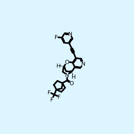 O=C(N1C[C@@H]2C[C@H]1c1cncc(C#Cc3cncc(F)c3)c1O2)C12CCC(C(F)(F)F)(CC1)C2